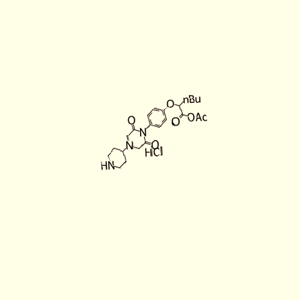 CCCCC(Oc1ccc(N2C(=O)CN(C3CCNCC3)CC2=O)cc1)C(=O)OC(C)=O.Cl